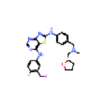 CN(Cc1ccc(Nc2nc3ncnc(Nc4ccc(F)c(CI)c4)c3s2)cc1)C[C@H]1CCCO1